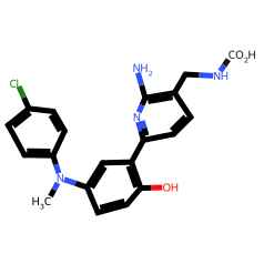 CN(c1ccc(Cl)cc1)c1ccc(O)c(-c2ccc(CNC(=O)O)c(N)n2)c1